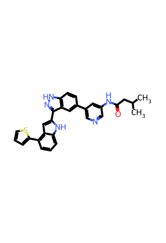 CC(C)CC(=O)Nc1cncc(-c2ccc3[nH]nc(-c4cc5c(-c6cccs6)cccc5[nH]4)c3c2)c1